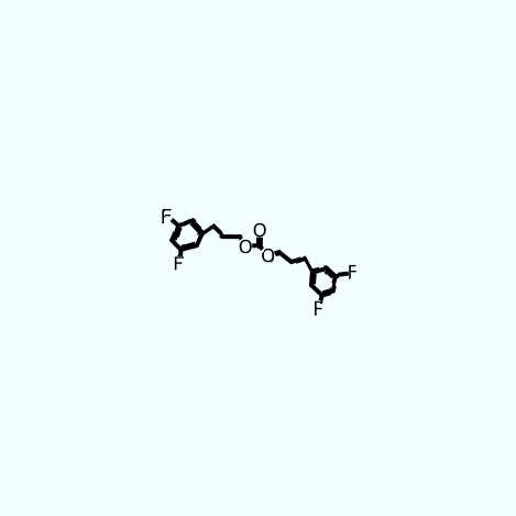 O=C(OCCCc1cc(F)cc(F)c1)OCCCc1cc(F)cc(F)c1